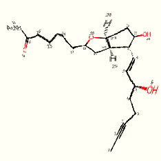 CC#CCC[C@H](O)C=C[C@@H]1[C@H]2C[C@@H](CCCCC(=O)NC(C)=O)O[C@H]2C[C@H]1O